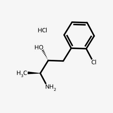 C[C@H](N)[C@H](O)Cc1ccccc1Cl.Cl